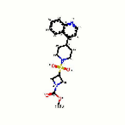 CC(C)(C)OC(=O)N1CC(S(=O)(=O)N2CCC(c3ccnc4ccccc34)CC2)C1